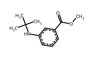 COC(=O)c1cccc(NC(C)(C)C)c1